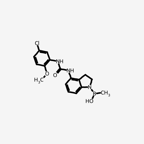 COc1ccc(Cl)cc1NC(=O)Nc1cccc2c1CCN2B(C)O